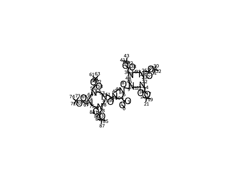 COC(=O)C1CN(C(=O)CN2CCN(CC(=O)OC(C)(C)C)CCN(CC(=O)OC(C)(C)C)CCN(CC(=O)OC(C)(C)C)CC2)CCN(C(=O)CN2CCN(CC(=O)OC(C)(C)C)CCN(CC(=O)OC(C)(C)C)CCN(CC(C)(OC)OC(C)(C)C)CC2)C1